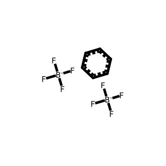 F[B-](F)(F)F.F[B-](F)(F)F.c1ccccc1